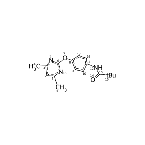 Cc1cc(C)nc(Oc2ccc(NC(=O)C(C)(C)C)cc2)n1